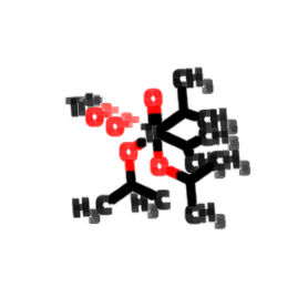 CC(C)[O][Ti](=[O])([O]C(C)C)([CH](C)C)[CH](C)C.[O-2].[O-2].[Ti+4]